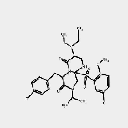 CCN(CC)C1CNC2(S(=O)(=O)c3cc(Cl)ccc3OC)CN(C(C)C)C(=O)C(Cc3ccc(Cl)cc3)N2C1=O